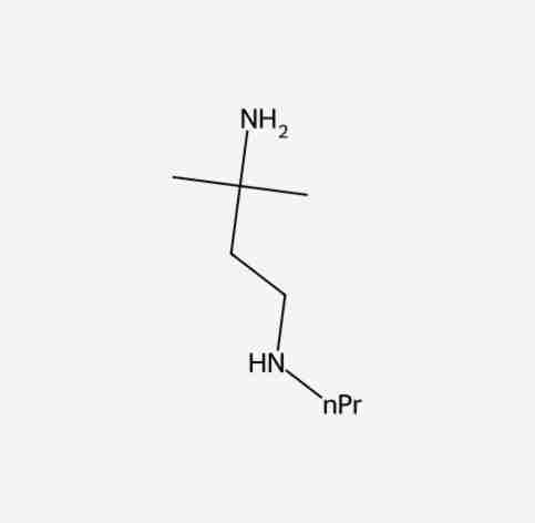 CCCNCCC(C)(C)N